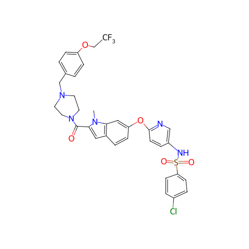 Cn1c(C(=O)N2CCN(Cc3ccc(OCC(F)(F)F)cc3)CC2)cc2ccc(Oc3ccc(NS(=O)(=O)c4ccc(Cl)cc4)cn3)cc21